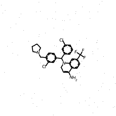 NC1=CCN(C(c2cccc(Cl)c2)c2ccc(CN3CCCC3)c(Cl)c2)c2cc(C(F)(F)F)ccc21